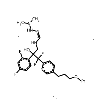 CC(C)OCCCc1ccc(C(F)(F)C(O)(CN/C=N\NN(C)C)c2ccc(F)cc2F)nc1